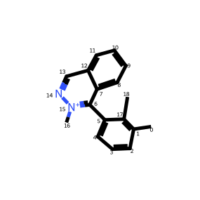 Cc1cccc(-c2c3ccccc3cn[n+]2C)c1C